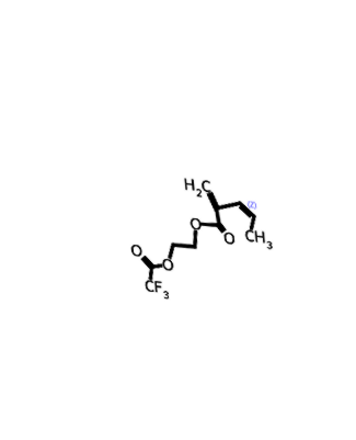 C=C(/C=C\C)C(=O)OCCOC(=O)C(F)(F)F